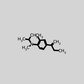 C=C(CC)c1ccc(N(C)C(C)C)c(C)c1